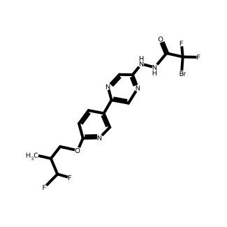 CC(COc1ccc(-c2cnc(NNC(=O)C(F)(F)Br)cn2)cn1)C(F)F